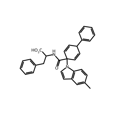 Cc1ccc2c(ccn2C2(C(=O)NC(Cc3ccccc3)C(=O)O)C=CC(c3ccccc3)C=C2)c1